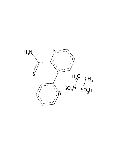 CS(=O)(=O)O.CS(=O)(=O)O.NC(=S)c1ncccc1-c1ccccn1